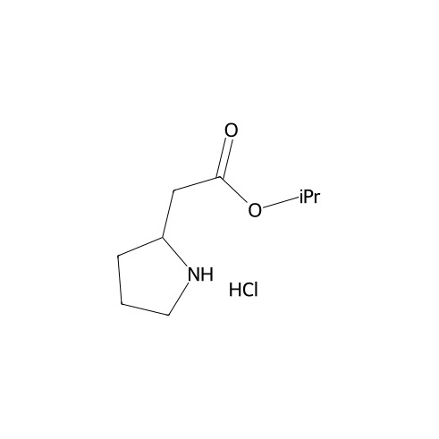 CC(C)OC(=O)CC1CCCN1.Cl